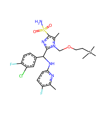 Cc1nc(NC(c2ccc(F)c(Cl)c2)c2nc(S(N)(=O)=O)c(C)n2COCC[Si](C)(C)C)ccc1F